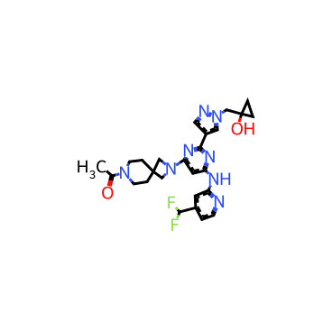 CC(=O)N1CCC2(CC1)CN(c1cc(Nc3cc(C(F)F)ccn3)nc(-c3cnn(CC4(O)CC4)c3)n1)C2